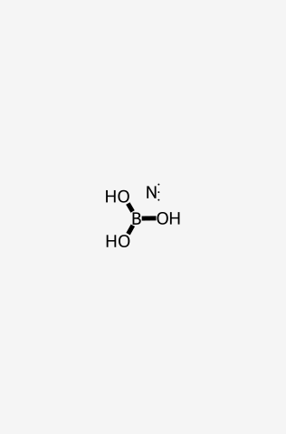 OB(O)O.[N]